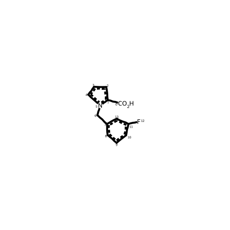 O=C(O)c1cccn1Cc1cccc(F)c1